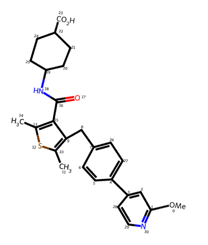 COc1cc(-c2ccc(Cc3c(C)sc(C)c3C(=O)NC3CCC(C(=O)O)CC3)cc2)ccn1